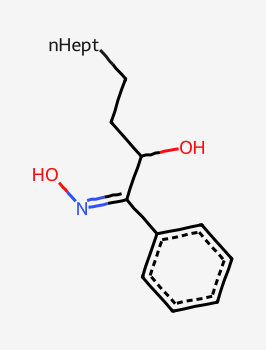 CCCCCCCCCC(O)C(=NO)c1ccccc1